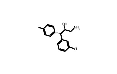 NC[C@H](O)[C@@H](c1ccc(F)cc1)c1cccc(Cl)c1